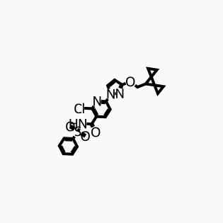 O=C(NS(=O)(=O)c1ccccc1)c1ccc(-n2ccc(OCC3C4(CC4)C34CC4)n2)nc1Cl